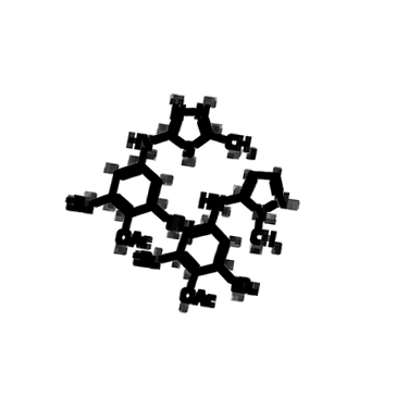 CC(=O)Oc1c(C(C)(C)C)cc(Nc2ccnn2C)cc1C(C)(C)C.CC(=O)Oc1c(C(C)(C)C)cc(Nc2nnc(C)s2)cc1C(C)(C)C